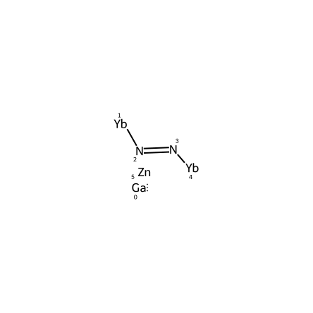 [Ga].[Yb][N]=[N][Yb].[Zn]